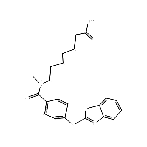 CNC(=O)CCCCCCN(C)C(=O)c1ccc(Nc2nc3ccccc3s2)cc1